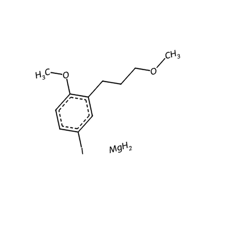 COCCCc1cc(I)ccc1OC.[MgH2]